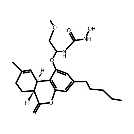 C=C1Oc2cc(CCCCC)cc(OC(COC)NC(=O)NO)c2[C@@H]2C=C(C)CC[C@@H]12